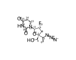 C=C(N=[N+]=[N-])[C@@]1(CO)C[C@@H](F)[C@H](n2ccc(=O)[nH]c2=O)O1